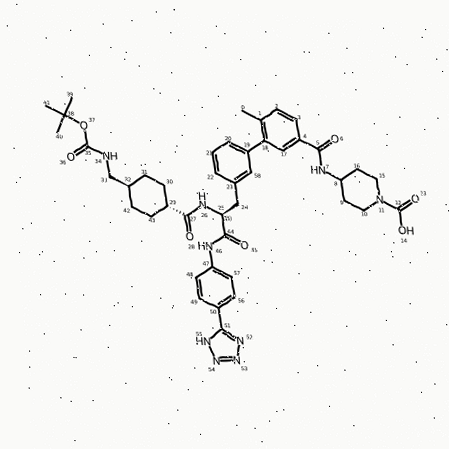 Cc1ccc(C(=O)NC2CCN(C(=O)O)CC2)cc1-c1cccc(C[C@H](NC(=O)[C@H]2CC[C@H](CNC(=O)OC(C)(C)C)CC2)C(=O)Nc2ccc(-c3nnn[nH]3)cc2)c1